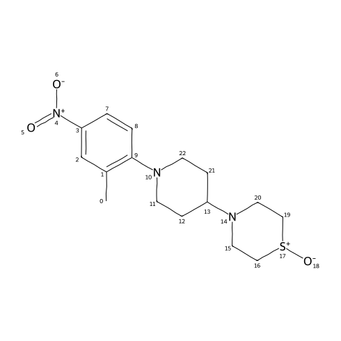 Cc1cc([N+](=O)[O-])ccc1N1CCC(N2CC[S+]([O-])CC2)CC1